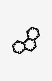 [c]1cc2ccc[c]c2c2ccccc12